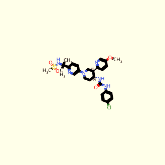 COc1ccc([C@@H]2CN(c3ccc(C(C)(C)NS(C)(=O)=O)nc3)CC[C@H]2NC(=O)Nc2ccc(Cl)cc2)nc1